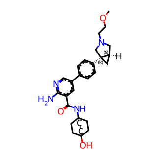 COCCN1C[C@H]2C[C@@]2(c2ccc(-c3cnc(N)c(C(=O)NC45CCC(O)(CC4)CC5)c3)cc2)C1